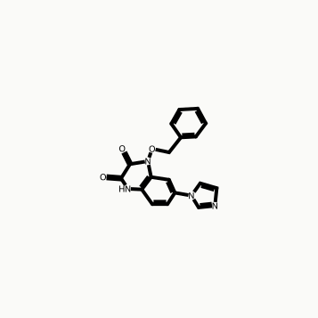 O=c1[nH]c2ccc(-n3ccnc3)cc2n(OCc2ccccc2)c1=O